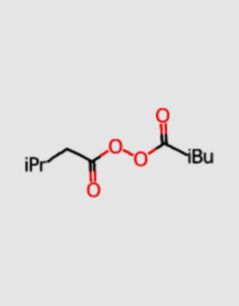 CCC(C)C(=O)OOC(=O)CC(C)C